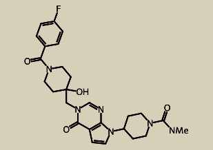 CNC(=O)N1CCC(n2ccc3c(=O)n(CC4(O)CCN(C(=O)c5ccc(F)cc5)CC4)cnc32)CC1